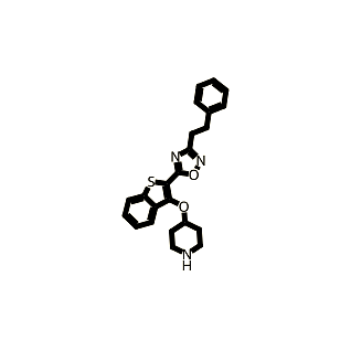 c1ccc(CCc2noc(-c3sc4ccccc4c3OC3CCNCC3)n2)cc1